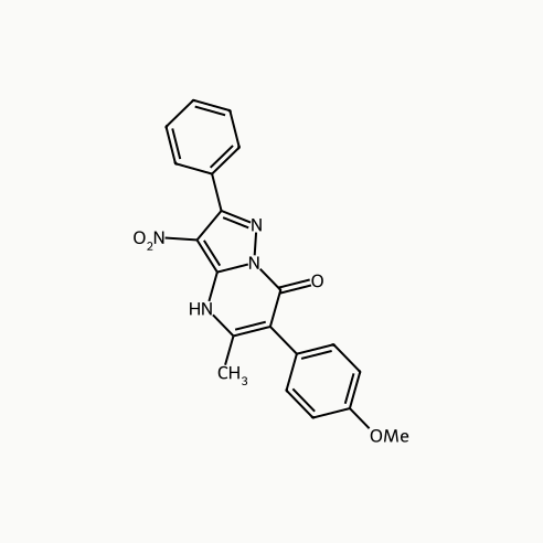 COc1ccc(-c2c(C)[nH]c3c([N+](=O)[O-])c(-c4ccccc4)nn3c2=O)cc1